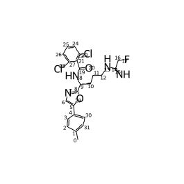 Cc1ccc(-c2cnc([C@H](CCCNC(=N)CF)NC(=O)c3c(Cl)cccc3Cl)o2)cc1